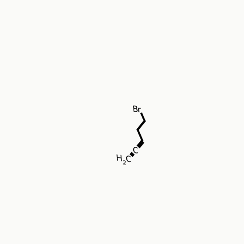 C=C=CCCBr